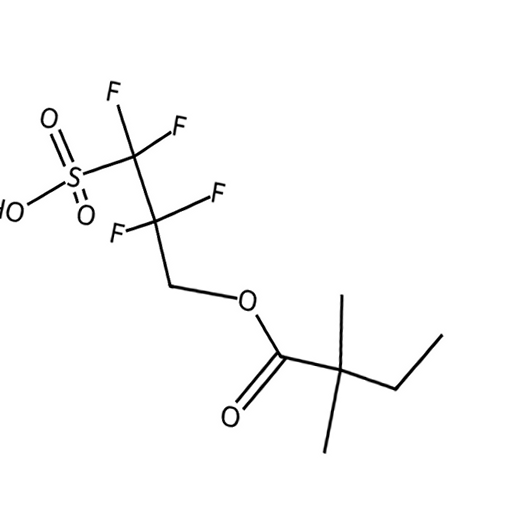 CCC(C)(C)C(=O)OCC(F)(F)C(F)(F)S(=O)(=O)O